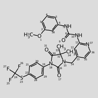 COc1cccc(NC(=O)Nc2cc(CN3C(=O)N(c4ccc(SC(F)(F)F)cc4)C(=O)C3(C)C)ccn2)c1